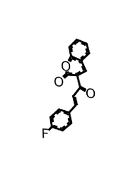 O=C(C=Cc1ccc(F)cc1)c1cc2ccccc2oc1=O